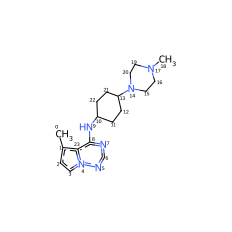 Cc1ccn2ncnc(NC3CCC(N4CCN(C)CC4)CC3)c12